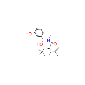 C=C(C)C1CCC(C)(C)CC1C(=O)N(C)C(O)c1cccc(O)c1